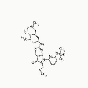 C=CCn1c(=O)c2cnc(Nc3cc(C)c4c(c3)CN(C)CC43CC3)nc2n1-c1cccc(N=S(C)(C)=O)n1